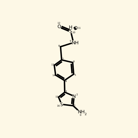 Nc1nc(-c2ccc(CN[SH](=O)=O)cc2)cs1